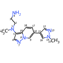 CN(CCN)c1cnn2cc(-c3cnn(C)c3)ccc12